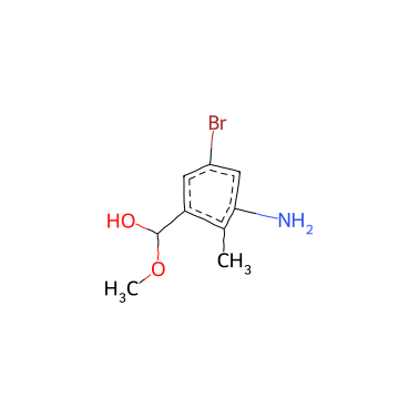 COC(O)c1cc(Br)cc(N)c1C